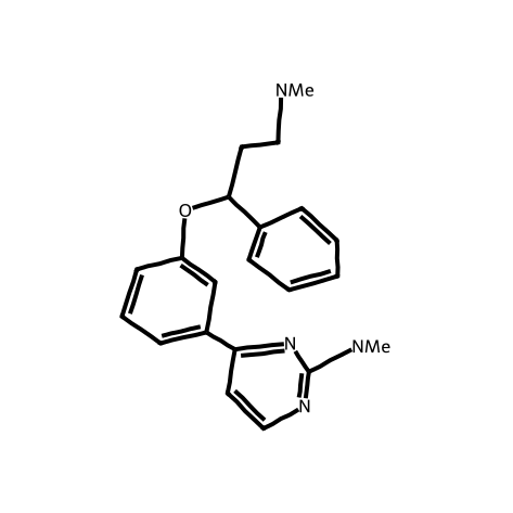 CNCCC(Oc1cccc(-c2ccnc(NC)n2)c1)c1ccccc1